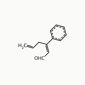 C=CCC(=CC=O)c1ccccc1